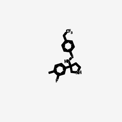 Cc1ccc(C2(NSc3ccc(CC(F)(F)F)cc3)CCNC2)cc1F